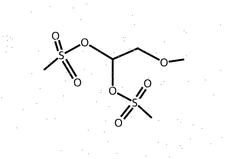 COCC(OS(C)(=O)=O)OS(C)(=O)=O